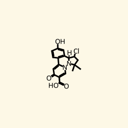 CC1(C)CC(Cl)[C@H]2c3cc(O)ccc3-c3cc(=O)c(C(=O)O)cn3N21